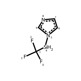 FC(F)(F)[SiH2]n1ccnc1